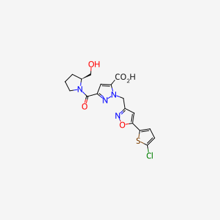 O=C(O)c1cc(C(=O)N2CCC[C@H]2CO)nn1Cc1cc(-c2ccc(Cl)s2)on1